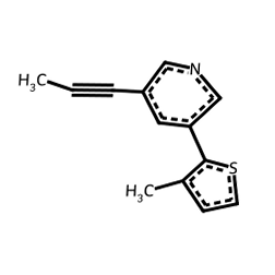 CC#Cc1cncc(-c2sccc2C)c1